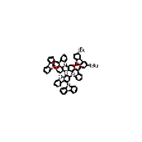 CC(C)(C)c1ccc2c(c1)c1cc(C(C)(C)C)ccc1n2-c1cc2c3c(c1)N(c1ccccc1-c1ccccc1)c1cc(-n4c5ccccc5c5ccccc54)c4c(oc5ccccc54)c1B3c1ccc(-n3c4ccccc4c4ccccc43)cc1N2c1ccccc1-c1ccccc1